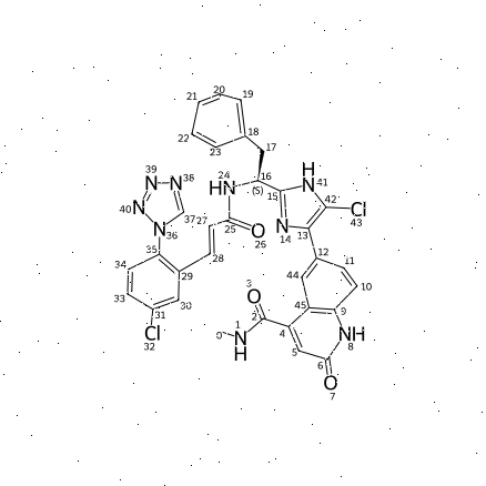 CNC(=O)c1cc(=O)[nH]c2ccc(-c3nc([C@H](Cc4ccccc4)NC(=O)C=Cc4cc(Cl)ccc4-n4cnnn4)[nH]c3Cl)cc12